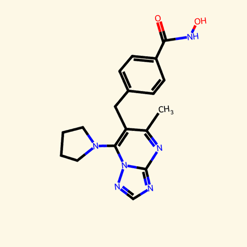 Cc1nc2ncnn2c(N2CCCC2)c1Cc1ccc(C(=O)NO)cc1